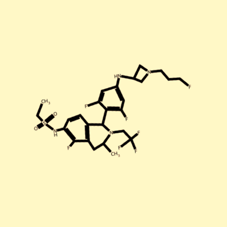 CCS(=O)(=O)Nc1ccc2c(c1F)CC(C)N(CC(F)(F)F)C2c1c(F)cc(NC2CN(CCCF)C2)cc1F